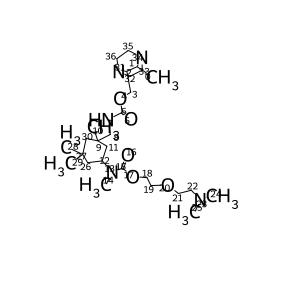 CC1C(COC(=O)NCC2(C)CC(N(C)C(=O)OCCOCCN(C)C)CC(C)(C)C2)N2CCN1CC2